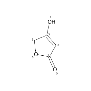 O=C1[C]=C(O)CO1